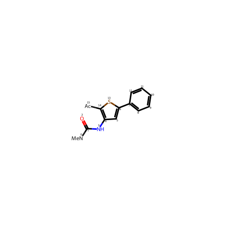 CNC(=O)Nc1cc(-c2ccccc2)sc1C(C)=O